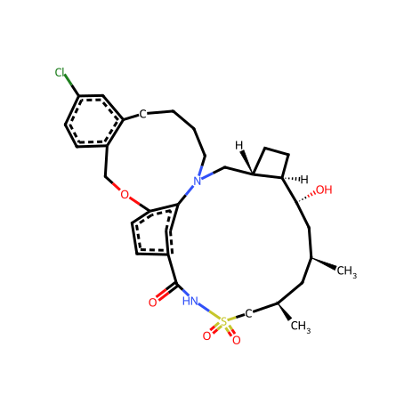 C[C@@H]1C[C@H](C)C[C@@H](O)[C@@H]2CC[C@H]2CN2CCCCc3cc(Cl)ccc3COc3ccc(cc32)C(=O)NS(=O)(=O)C1